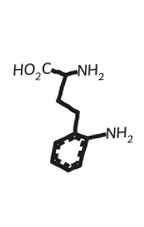 Nc1ccccc1CCC(N)C(=O)O